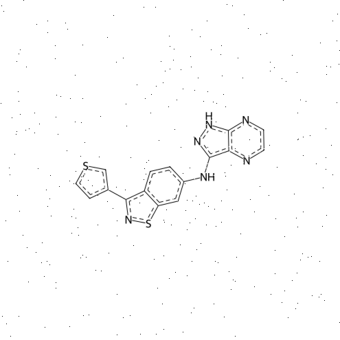 c1cnc2c(Nc3ccc4c(-c5ccsc5)nsc4c3)n[nH]c2n1